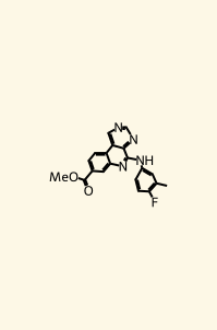 COC(=O)c1ccc2c(c1)nc(Nc1ccc(F)c(C)c1)c1ncncc12